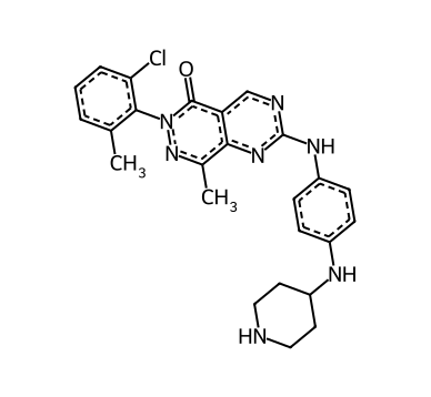 Cc1cccc(Cl)c1-n1nc(C)c2nc(Nc3ccc(NC4CCNCC4)cc3)ncc2c1=O